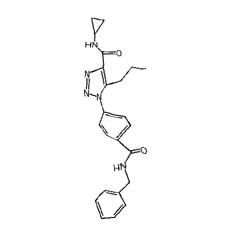 CCCc1c(C(=O)NC2CC2)nnn1-c1ccc(C(=O)NCc2ccccc2)cc1